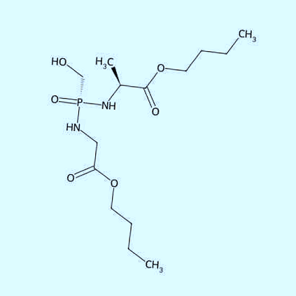 CCCCOC(=O)CN[P@](=O)(CO)N[C@@H](C)C(=O)OCCCC